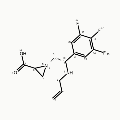 C=CCN[C@H](C[N@]1CC1C(=O)O)c1cc(F)c(F)c(F)c1